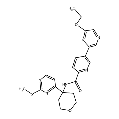 CCOc1cncc(-c2ccc(C(=O)NC3(c4ccnc(SC)n4)CCOCC3)nc2)n1